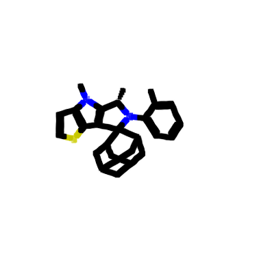 Cc1ccccc1N1[C@@H](C)c2c(c3sccc3n2C)C12C1CC3CC(C1)CC2C3